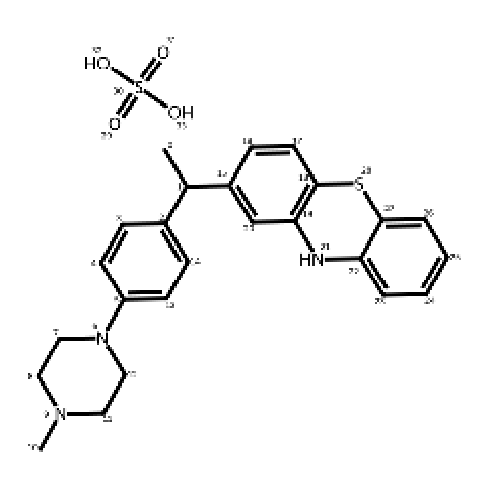 CC(c1ccc(N2CCN(C)CC2)cc1)c1ccc2c(c1)Nc1ccccc1S2.O=S(=O)(O)O